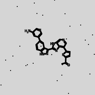 CC(=O)c1ccc(-c2cncc3[nH]c(-c4n[nH]c5ccc(-c6cncc(N)c6)cc45)nc23)s1